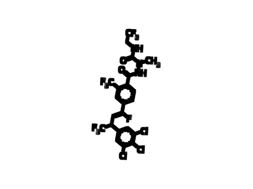 CN(NC(=O)c1ccc(C(F)=CC(c2cc(Cl)c(Cl)c(Cl)c2)C(F)(F)F)cc1C(F)(F)F)C(=O)NCC(F)(F)F